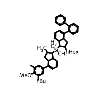 CCCCCCC1CC2C(c3ccccc3-c3ccccc3)=CC=CC2C1[Si](C)(C)C1C(C)CC2C(c3cc(I)c(OC)c(CCCC)c3)=CC=CC21